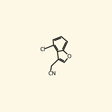 N#CCc1coc2cccc(Cl)c12